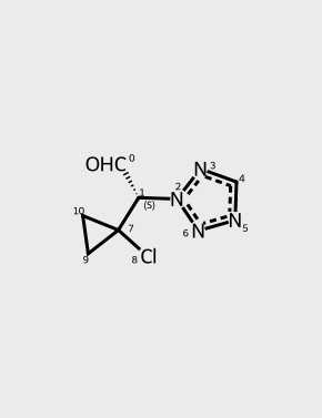 O=C[C@H](n1ncnn1)C1(Cl)CC1